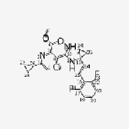 C=C(/N=C(C(=O)OC)\C(Cl)=C(/N)NC1(/C=C/c2c(F)cccc2F)CC1)C1CC1